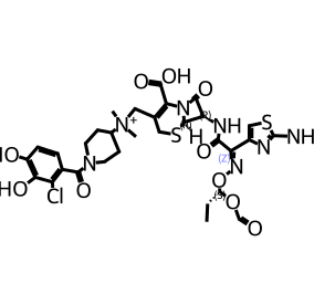 CC[C@@H](OC=O)O/N=C(\C(=O)N[C@@H]1C(=O)N2C(C(=O)O)=C(C[N+](C)(C)C3CCN(C(=O)c4ccc(O)c(O)c4Cl)CC3)CS[C@H]12)c1csc(N)n1